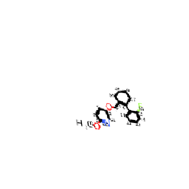 COc1ccc(OCC2=C(c3ccccc3F)CCCC2)cn1